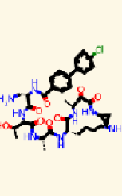 C[C@H](NC(=O)[C@@H](NC(=O)[C@H](CN)NC(=O)c1ccc(-c2ccc(Cl)cc2)cc1)[C@@H](C)O)C(=O)N[C@@H](CCCCN)C(=O)N[C@@H](C)C(=O)C(=O)NC1CC1